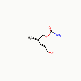 C=C(C=CCO)COC(N)=O